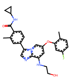 Cc1ccc(F)cc1Oc1cc(NCCO)c2ncc(-c3ccc(C(=O)NC4CC4)c(C)c3)n2c1